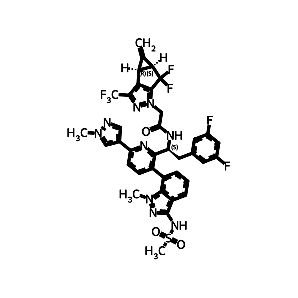 C=C1[C@@H]2c3c(C(F)(F)F)nn(CC(=O)N[C@@H](Cc4cc(F)cc(F)c4)c4nc(-c5cnn(C)c5)ccc4-c4cccc5c(NS(C)(=O)=O)nn(C)c45)c3C(F)(F)[C@H]12